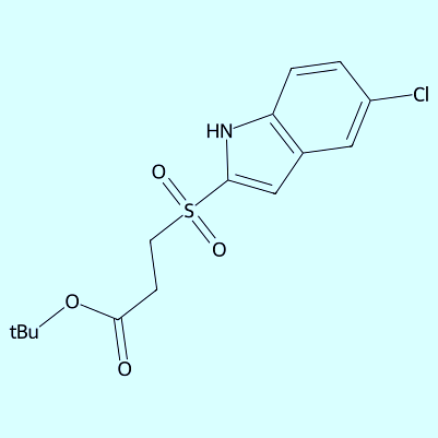 CC(C)(C)OC(=O)CCS(=O)(=O)c1cc2cc(Cl)ccc2[nH]1